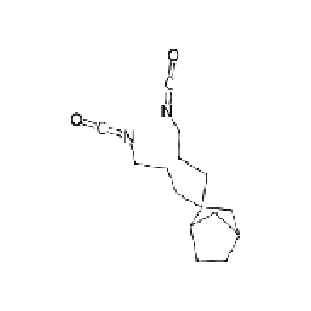 O=C=NCCCC1(CCCN=C=O)CC2CCC1C2